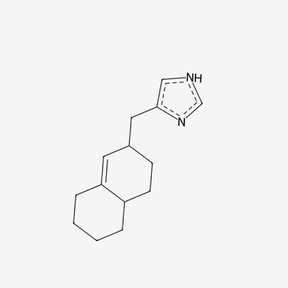 C1=C2CCCCC2CCC1Cc1c[nH]cn1